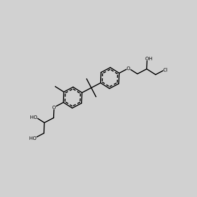 Cc1cc(C(C)(C)c2ccc(OCC(O)CCl)cc2)ccc1OCC(O)CO